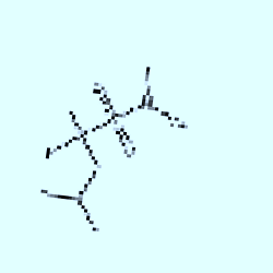 CC(=O)N(C)S(=O)(=O)C(F)(F)CC(F)F